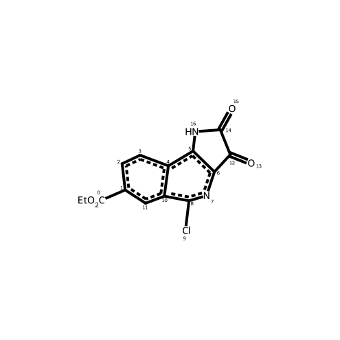 CCOC(=O)c1ccc2c3c(nc(Cl)c2c1)C(=O)C(=O)N3